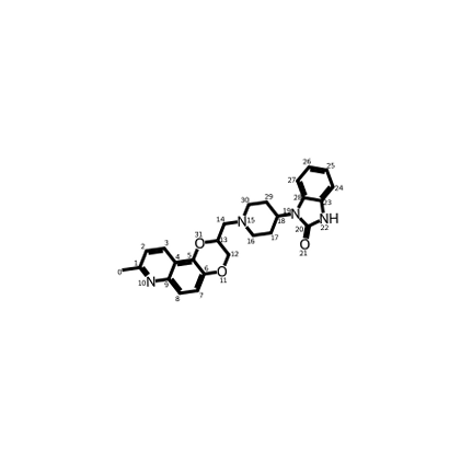 Cc1ccc2c3c(ccc2n1)OCC(CN1CCC(n2c(=O)[nH]c4ccccc42)CC1)O3